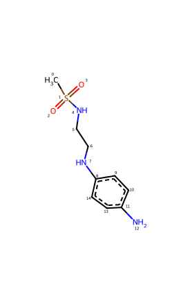 CS(=O)(=O)NCCNc1ccc(N)cc1